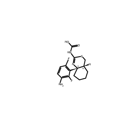 Nc1ccc(F)c([C@]23CCCC[C@H]2CSC(NC(=O)O)=N3)c1F